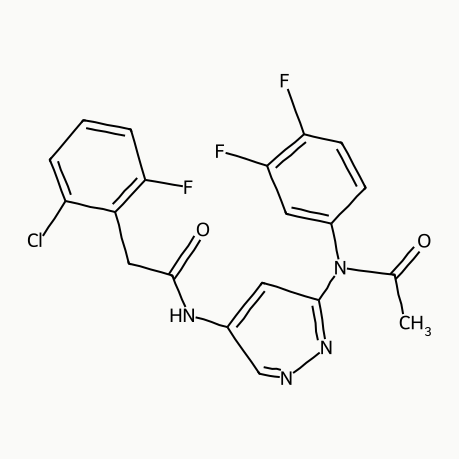 CC(=O)N(c1ccc(F)c(F)c1)c1cc(NC(=O)Cc2c(F)cccc2Cl)cnn1